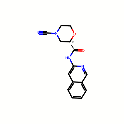 N#CN1CCO[C@H](C(=O)Nc2cc3ccccc3cn2)C1